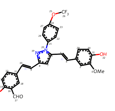 COc1cc(/C=C/c2cc(/C=C/c3ccc(O)c(C=O)c3)nn2-c2ccc(OC(F)(F)F)cc2)ccc1O